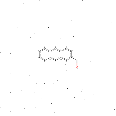 O=Cc1[c]cc2cc3ccccc3cc2c1